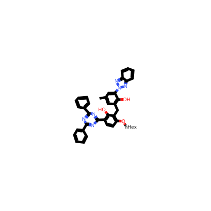 CCCCCCOc1ccc(-c2nc(-c3ccccc3)nc(-c3ccccc3)n2)c(O)c1Cc1cc(C)cc(-n2nc3ccccc3n2)c1O